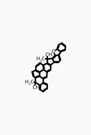 CC1(C)c2c(cc3cc4c5c(ccc6ccc2c3c65)C(C)(C)c2ccccc2-4)-c2ccc3c(oc4ccccc43)c21